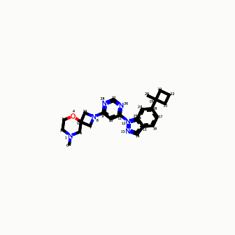 CN1CCOC2(C1)CN(c1cc(-n3ncc4ccc(C5(C)CCC5)cc43)ncn1)C2